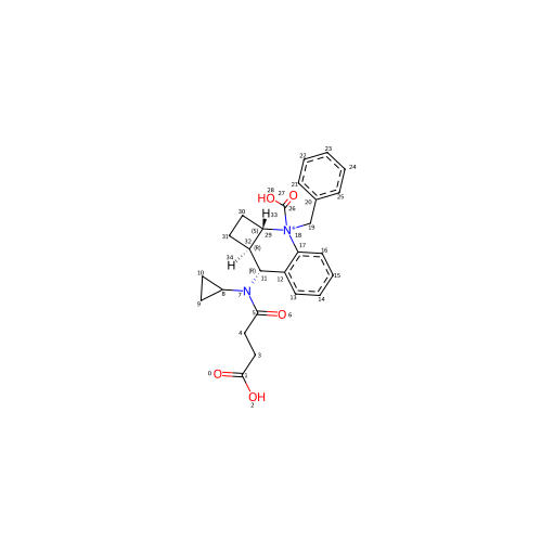 O=C(O)CCC(=O)N(C1CC1)[C@H]1c2ccccc2[N+](Cc2ccccc2)(C(=O)O)[C@H]2CC[C@H]12